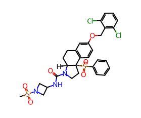 CS(=O)(=O)N1CC(NC(=O)N2CC[C@@]3(S(=O)(=O)c4ccccc4)c4ccc(OCc5c(Cl)cccc5Cl)cc4CC[C@@H]23)C1